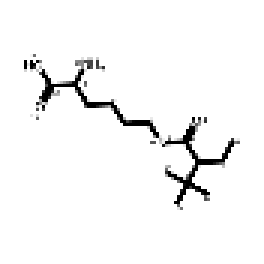 CCC(C(=O)NCCCCC(N)C(=O)O)C(C)(C)C